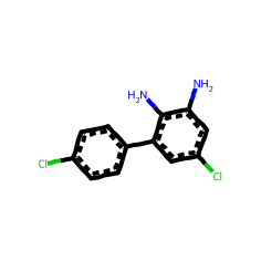 Nc1cc(Cl)cc(-c2ccc(Cl)cc2)c1N